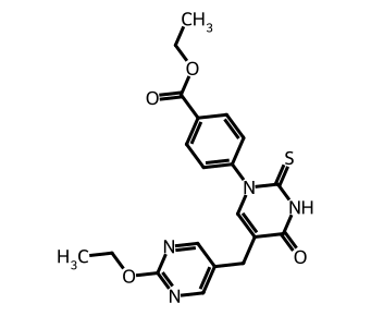 CCOC(=O)c1ccc(-n2cc(Cc3cnc(OCC)nc3)c(=O)[nH]c2=S)cc1